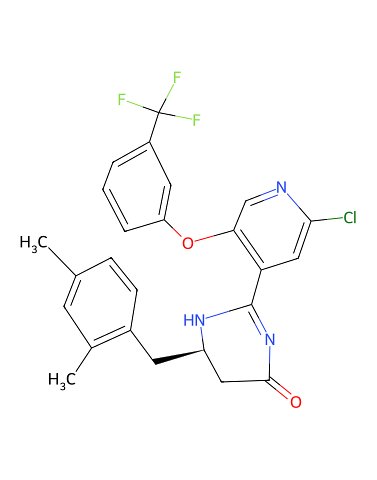 Cc1ccc(C[C@@H]2CC(=O)N=C(c3cc(Cl)ncc3Oc3cccc(C(F)(F)F)c3)N2)c(C)c1